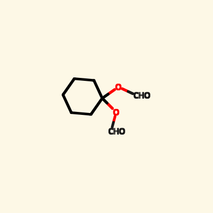 O=COC1(OC=O)CCCCC1